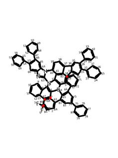 FC(F)(F)c1cc2c(c3ccccc13)-n1c3c(cc4c5cc(-c6ccccc6)c(-c6ccccc6)cc5c5ccc(c3c54)n3c4cc(-c5ccccc5)c(-c5ccccc5)cc4nc13)B2c1c(-c2ccccc2)cc(-c2ccccc2)cc1-c1ccccc1